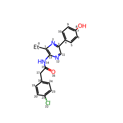 CCc1nc(-c2ccc(O)cc2)cnc1NC(=O)Cc1ccc(Cl)cc1